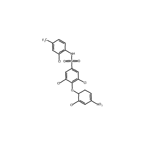 O=[N+]([O-])C1=CCC(Oc2c(Cl)cc(S(=O)(=O)Nc3ccc(C(F)(F)F)cc3Cl)cc2Cl)C(Cl)=C1